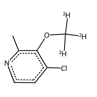 [2H]C([2H])([2H])Oc1c(Cl)ccnc1C